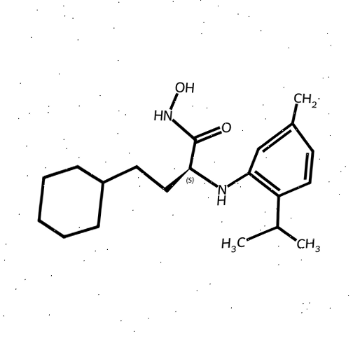 [CH2]c1ccc(C(C)C)c(N[C@@H](CCC2CCCCC2)C(=O)NO)c1